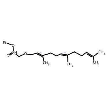 CCO[PH](=O)COC/C=C(\C)CC/C=C(\C)CCC=C(C)C